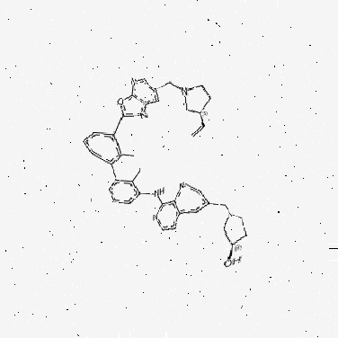 C=C[C@@H]1CCN(Cc2cnc3oc(-c4cccc(-c5cccc(Nc6nccc7cc(CN8CC[C@@H](O)C8)cnc67)c5C)c4C)nc3c2)C1